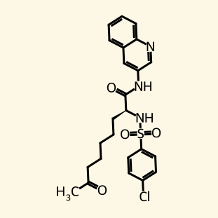 CC(=O)CCCCC[C@H](NS(=O)(=O)c1ccc(Cl)cc1)C(=O)Nc1cnc2ccccc2c1